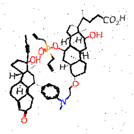 C=CCP(=O)(CC=C)O[C@@H]1C[C@@H]2C[C@@H](OCCN(C)c3ccc([C@H]4C[C@@]5(C)[C@@H](CC[C@]5(O)C#CC)[C@@H]5CCC6=CC(=O)CCC6=C54)cc3)CC[C@]2(C)[C@H]2C[C@H](O)[C@]3(C)[C@@H]([C@H](C)CCC(=O)O)CC[C@H]3[C@H]12